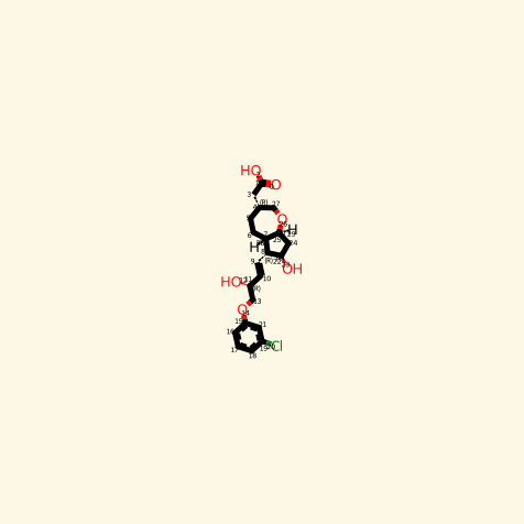 O=C(O)C[C@H]1CC[C@@H]2[C@@H](C=C[C@@H](O)COc3cccc(Cl)c3)[C@H](O)C[C@@H]2OC1